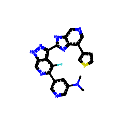 CN(C)c1cncc(-c2ncc3[nH]nc(-c4nc5c(-c6ccsc6)cncc5[nH]4)c3c2F)c1